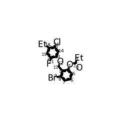 CCC(=O)Oc1cccc(Br)c1COc1cc(Cl)c(CC)cc1F